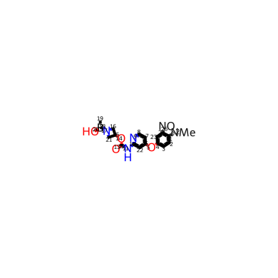 CNc1ccc(Oc2ccnc(NC(=O)OC3CN(B(C)O)C3)c2)cc1[N+](=O)[O-]